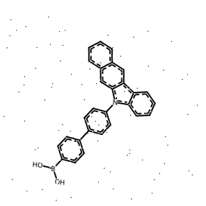 OB(O)c1ccc(-c2ccc(-n3c4ccccc4c4cc5ccccc5cc43)cc2)cc1